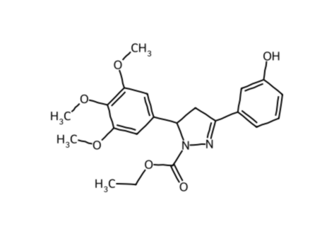 CCOC(=O)N1N=C(c2cccc(O)c2)CC1c1cc(OC)c(OC)c(OC)c1